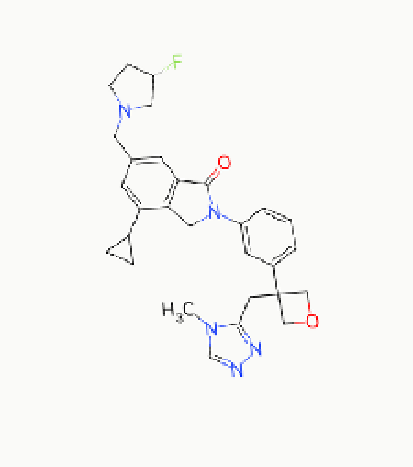 Cn1cnnc1CC1(c2cccc(N3Cc4c(cc(CN5CC[C@H](F)C5)cc4C4CC4)C3=O)c2)COC1